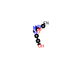 CC(C)(O)c1ccc(-c2ccc(N3CCn4ncc(C(=O)Nc5cccc(C#N)c5)c4C3=O)cc2)cc1